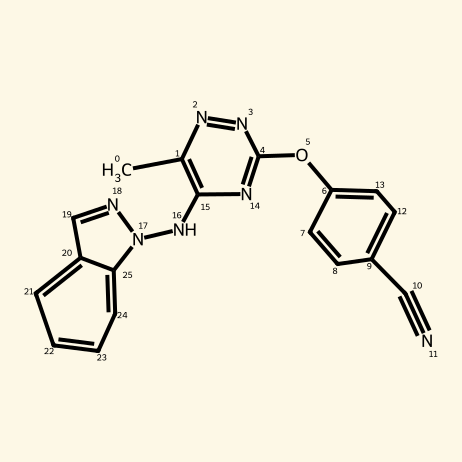 Cc1nnc(Oc2ccc(C#N)cc2)nc1Nn1ncc2ccccc21